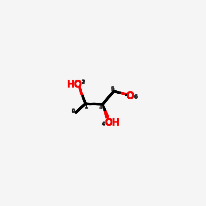 CC(O)[C@H](O)C[O]